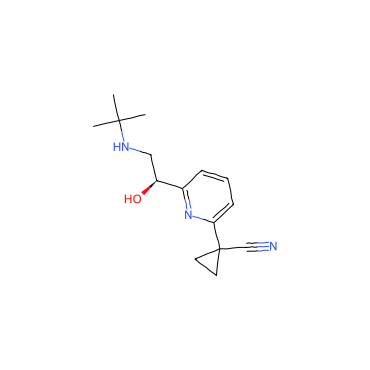 CC(C)(C)NC[C@H](O)c1cccc(C2(C#N)CC2)n1